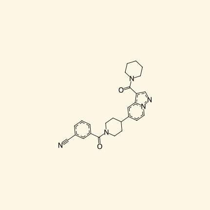 N#Cc1cccc(C(=O)N2CCC(c3ccn4ncc(C(=O)N5CCCCC5)c4c3)CC2)c1